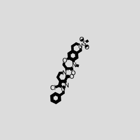 CN1C(=O)[C@@H](N2CCc3c(nn(Cc4ccccc4)c3Cl)C2=O)COc2cc3c(cc21)CN(S(C)(=O)=O)CC3